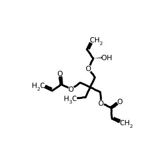 C=CC(=O)OCC(CC)(COC(=O)C=C)CO[C@@H](O)C=C